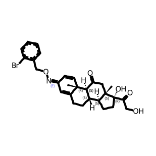 C[C@]12C=C/C(=N\OCc3ccccc3Br)C=C1CC[C@@H]1[C@@H]2C(=O)C[C@@]2(C)[C@H]1CC[C@]2(O)C(=O)CO